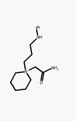 CC(C)NCCC[N+]1(CC(N)=O)CCCCC1